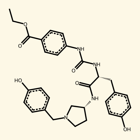 CCOC(=O)c1ccc(NC(=O)N[C@H](Cc2ccc(O)cc2)C(=O)N[C@@H]2CCN(Cc3ccc(O)cc3)C2)cc1